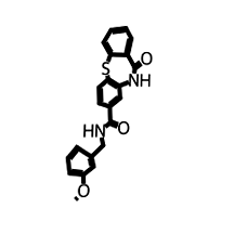 COc1cccc(CNC(=O)c2ccc3c(c2)NC(=O)c2ccccc2S3)c1